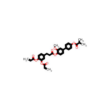 C=CC(=O)Oc1ccc(CCC(=O)Oc2ccc(-c3ccc(OC(=O)C(C)C)cc3)cc2OC)cc1OC(=O)C=C